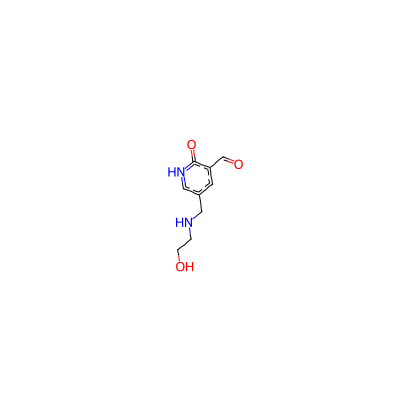 O=Cc1cc(CNCCO)c[nH]c1=O